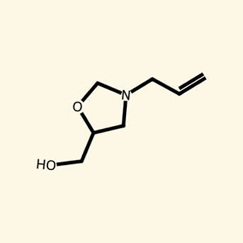 C=CCN1COC(CO)C1